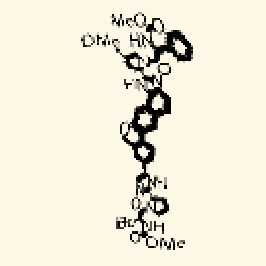 CC[C@H](C)[C@H](NC(=O)OC)C(=O)N1CCC[C@H]1c1ncc(-c2ccc3c(c2)COc2cc4c(ccc5nc([C@@H]6C[C@H](COC)CN6C(=O)[C@H](NC(=O)OC)c6ccccc6)[nH]c54)cc2-3)[nH]1